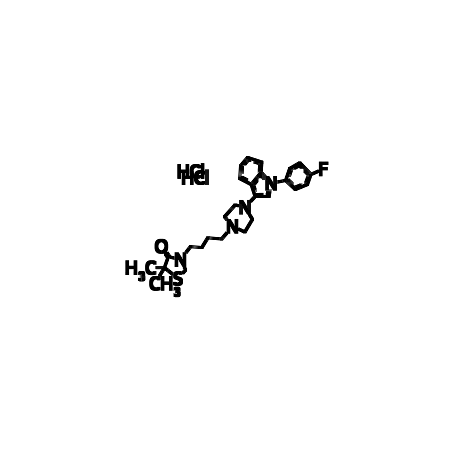 CC1(C)SCN(CCCCN2CCN(c3cn(-c4ccc(F)cc4)c4ccccc34)CC2)C1=O.Cl.Cl